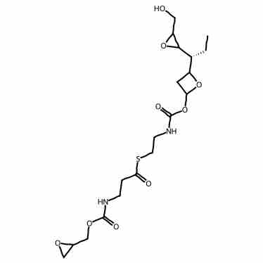 CC[C@H](C1CC(OC(=O)NCCSC(=O)CCNC(=O)OCC2CO2)O1)C1OC1CO